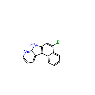 Brc1cc2[nH]c3ncccc3c2c2ccccc12